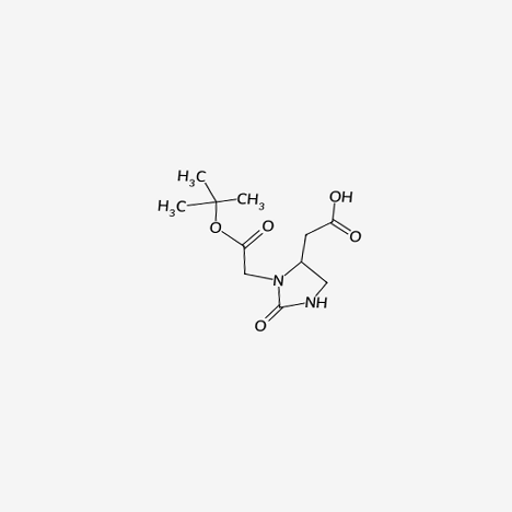 CC(C)(C)OC(=O)CN1C(=O)NCC1CC(=O)O